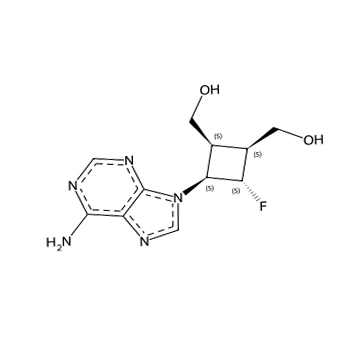 Nc1ncnc2c1ncn2[C@@H]1[C@@H](F)[C@H](CO)[C@@H]1CO